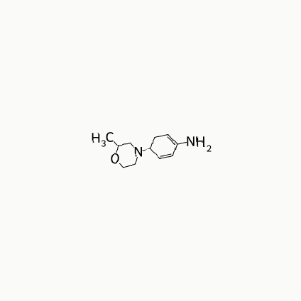 CC1CN(C2C=CC(N)=CC2)CCO1